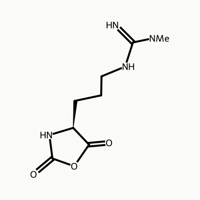 CNC(=N)NCCC[C@@H]1NC(=O)OC1=O